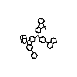 CC1(C)c2ccccc2-c2ccc(N(c3ccc(-c4cccc5ccccc45)cc3)c3ccc4c(c3)-c3cc(-c5ccccc5)ccc3C43C4CC5CC(C4)CC3C5)cc21